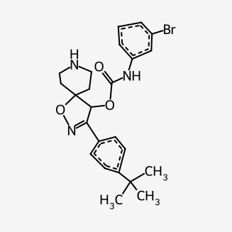 CC(C)(C)c1ccc(C2=NOC3(CCNCC3)C2OC(=O)Nc2cccc(Br)c2)cc1